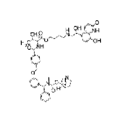 CC(C)C(NC(=O)c1ccc(COc2cccc(C(NC(=O)O[C@H]3CN4CCC3CC4)c3ccccc3)c2)cc1)C(=O)OCCCCNCC(O)c1ccc(O)c2[nH]c(=O)ccc12